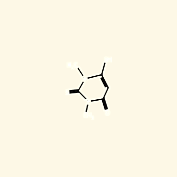 Cn1c(S)cc(=O)n(C)c1=S